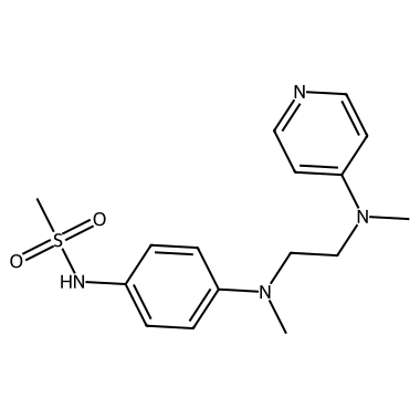 CN(CCN(C)c1ccc(NS(C)(=O)=O)cc1)c1ccncc1